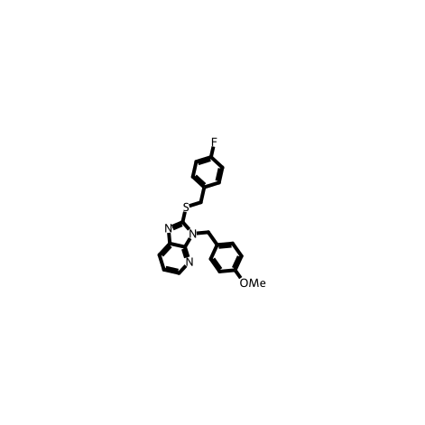 COc1ccc(Cn2c(SCc3ccc(F)cc3)nc3cccnc32)cc1